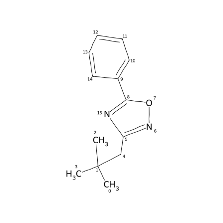 CC(C)(C)Cc1noc(-c2ccccc2)n1